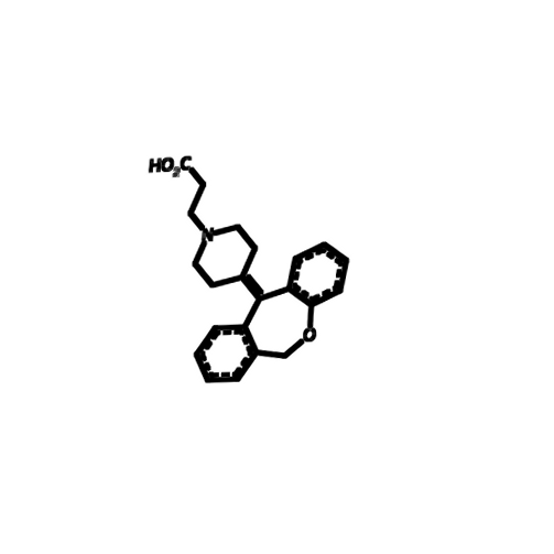 O=C(O)CCN1CCC(=C2c3ccccc3COc3ccccc32)CC1